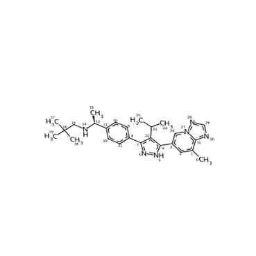 Cc1cc(-c2[nH]nc(-c3ccc([C@H](C)NCC(C)(C)C)cc3)c2C(C)C)cn2ncnc12